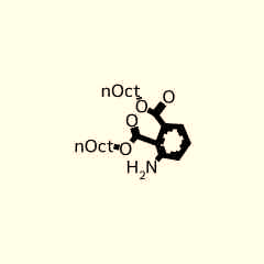 CCCCCCCCOC(=O)c1cccc(N)c1C(=O)OCCCCCCCC